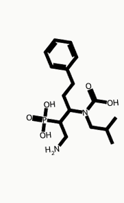 CC(C)CN(C(=O)O)C(CCc1ccccc1)C(CN)P(=O)(O)O